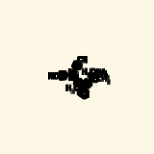 CC1CC2CCCC(C2)C1(c1ccc(B2OC(C)(C)C(C)(C)O2)cc1)c1ccc(-c2nc(-c3ccc(C#N)cc3)nc(-c3ccc(C#N)cc3)n2)cc1